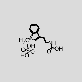 Cn1cc(CCNC(=O)O)c2ccccc21.O=S(=O)(O)O